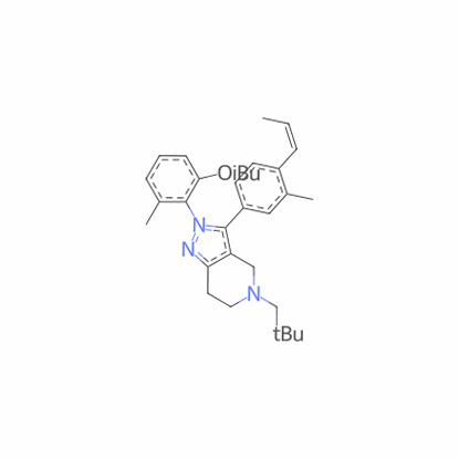 C/C=C\c1ccc(-c2c3c(nn2-c2c(C)cccc2OCC(C)C)CCN(CC(C)(C)C)C3)cc1C